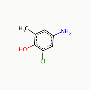 Cc1cc(N)cc(Cl)c1O